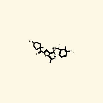 CC(=O)N1CCC(C)(C(=O)c2cc3c(N[C@H](C)c4cccc(C(F)(F)F)c4C)nnc(C)c3s2)CC1